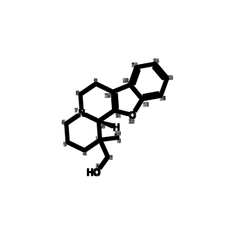 CC1(CO)CCCN2CCc3c(oc4ccccc34)[C@@H]21